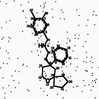 Cc1cc(CNCC[C@]2(c3ccccn3)CCOC3(CCCC3)C2)cnc1C